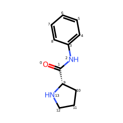 O=C(Nc1ccccc1)[C@@H]1CCCN1